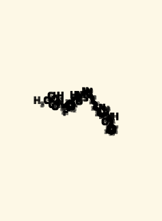 CC(C)(C)OC(=O)NCc1cc(CC(=O)Nc2nnc(CCCCc3ccc(NC(=O)Cc4ccccc4)nn3)s2)ccc1F